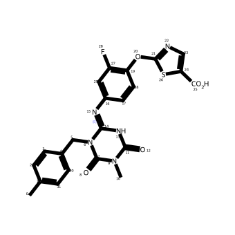 Cc1ccc(Cn2c(=O)n(C)c(=O)[nH]/c2=N\c2ccc(Oc3ncc(C(=O)O)s3)c(F)c2)cc1